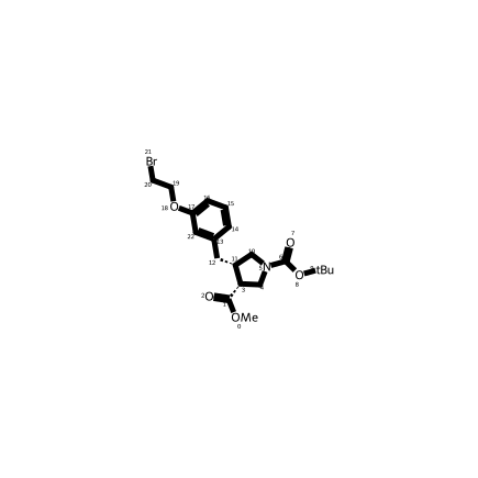 COC(=O)[C@H]1CN(C(=O)OC(C)(C)C)C[C@H]1Cc1cccc(OCCBr)c1